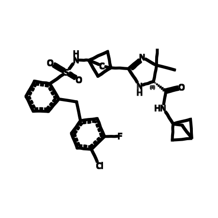 CC1(C)N=C(C23CC(NS(=O)(=O)c4ccccc4Cc4ccc(Cl)c(F)c4)(C2)C3)N[C@H]1C(=O)NC12CC(C1)C2